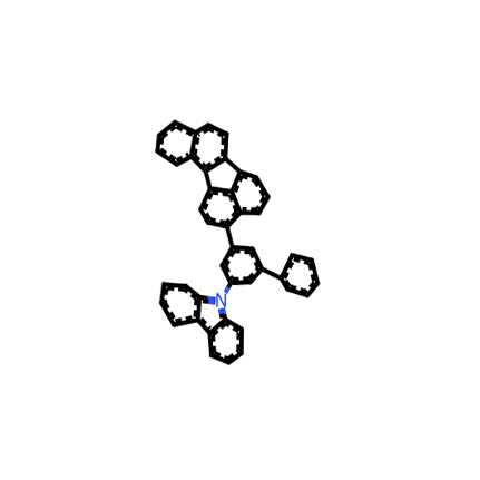 c1ccc(-c2cc(-c3ccc4c5c(cccc35)-c3ccc5ccccc5c3-4)cc(-n3c4ccccc4c4ccccc43)c2)cc1